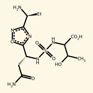 CC[C@H](N)c1noc([C@@H](CC(N)=O)NS(=O)(=O)NC(C(=O)O)C(C)O)n1